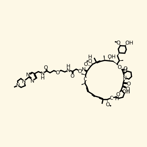 CO[C@H]1C[C@@H]2CC[C@@H](C)[C@@](O)(O2)C(=O)C(=O)N2CCCC[C@H]2C(=O)O[C@H]([C@H](C)C[C@@H]2CC[C@@H](O)[C@H](OC)C2)C[C@@H](O)[C@H](C)/C=C(\C)[C@@H](O)[C@@H](OC)/C(=N/OCC(=O)NCCOCCC(=O)NCc2cnc(N3CCN(C)CC3)nc2)[C@H](C)C[C@H](C)/C=C/C=C/C=C/1C